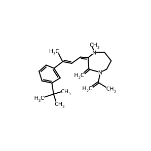 C=C(C)N1CCCN(C)/C(=C/C=C(\C)c2cccc(C(C)(C)C)c2)C1=C